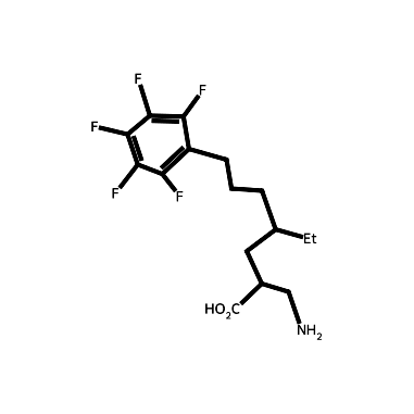 CCC(CCCc1c(F)c(F)c(F)c(F)c1F)CC(CN)C(=O)O